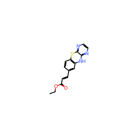 CCOC(=O)/C=C/c1ccc2c(c1)Nc1nccnc1S2